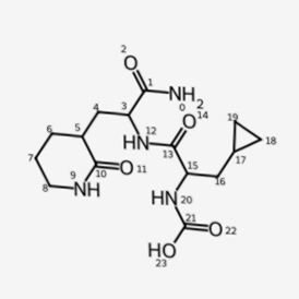 NC(=O)C(CC1CCCNC1=O)NC(=O)C(CC1CC1)NC(=O)O